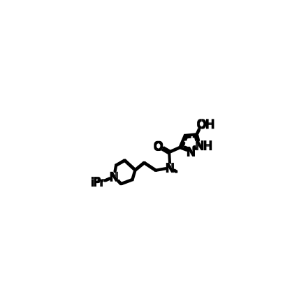 CC(C)N1CCC(CCN(C)C(=O)c2cc(O)[nH]n2)CC1